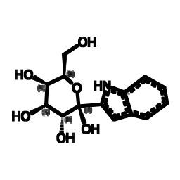 OC[C@H]1O[C@](O)(c2cc3ccccc3[nH]2)[C@H](O)[C@@H](O)[C@H]1O